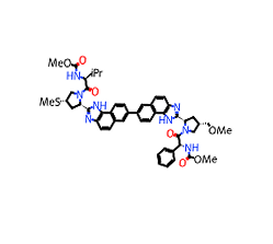 COC[C@H]1C[C@@H](c2nc3ccc4cc(-c5ccc6c(ccc7nc([C@@H]8C[C@H](SC)CN8C(=O)[C@@H](NC(=O)OC)C(C)C)[nH]c76)c5)ccc4c3[nH]2)N(C(=O)[C@H](NC(=O)OC)c2ccccc2)C1